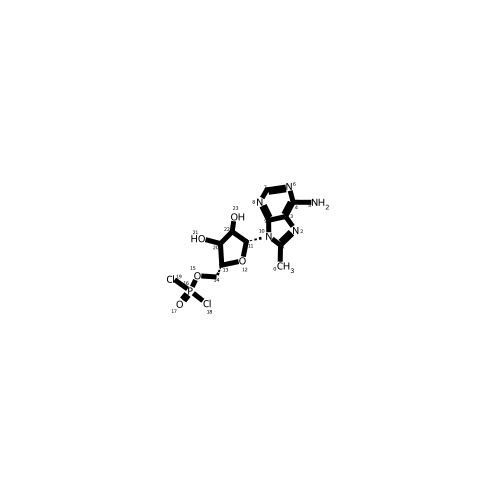 Cc1nc2c(N)ncnc2n1[C@@H]1O[C@H](COP(=O)(Cl)Cl)C(O)C1O